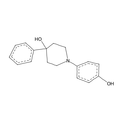 Oc1ccc(N2CCC(O)(c3ccccc3)CC2)cc1